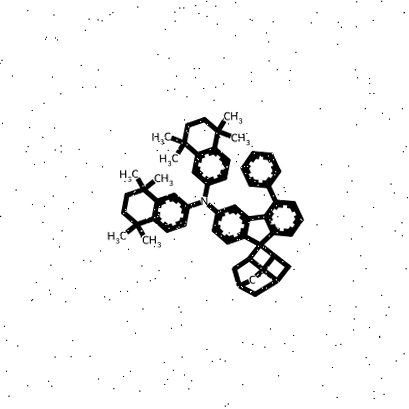 CC1(C)CCC(C)(C)c2cc(N(c3ccc4c(c3)-c3c(-c5ccccc5)cccc3C43C4CC5CC6CC3C64C5)c3ccc4c(c3)C(C)(C)CCC4(C)C)ccc21